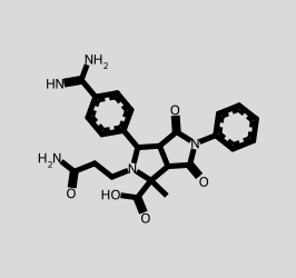 CC1(C(=O)O)C2C(=O)N(c3ccccc3)C(=O)C2C(c2ccc(C(=N)N)cc2)N1CCC(N)=O